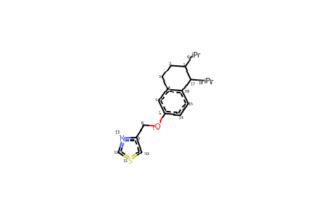 CC(C)C1CCc2cc(OCc3cscn3)ccc2C1C(C)C